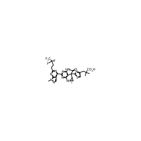 Cn1ncc2c(-c3nc(N)c4c(n3)NC(=O)C4(c3nc(CC(C)(C)C(=O)O)cs3)C3CC3)nc(CCC(F)(F)C(F)(F)F)nc21